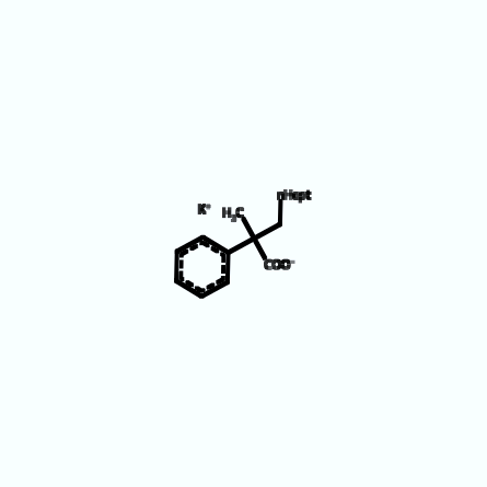 CCCCCCCCC(C)(C(=O)[O-])c1ccccc1.[K+]